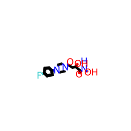 O=C(NO)C(O)CC(=O)N1CCN(c2ccc(F)cc2)CC1